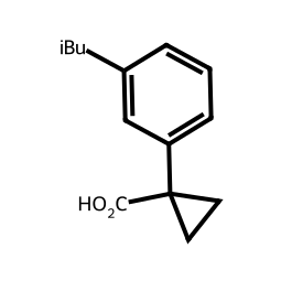 CCC(C)c1cccc(C2(C(=O)O)CC2)c1